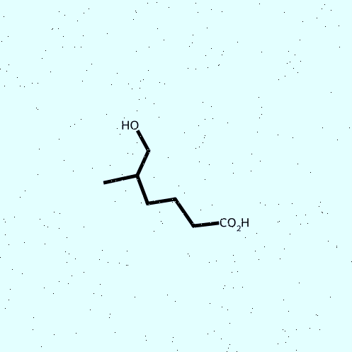 CC(CO)CCCC(=O)O